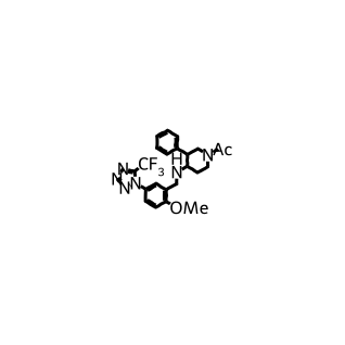 COc1ccc(-n2nnnc2C(F)(F)F)cc1CNC1CCN(C(C)=O)CC1c1ccccc1